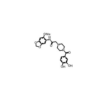 COc1cc2c(cc1NC(=O)CN1CCN(C(=O)c3ccc(O)c(O)c3)CC1)OCO2